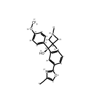 Cc1coc(-c2cccc([C@](O)(c3ccc(OC(F)(F)F)cc3)C3(C)CN(C)C3)c2)n1